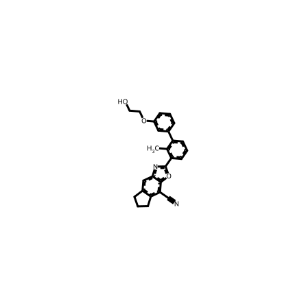 Cc1c(-c2cccc(OCCO)c2)cccc1-c1nc2cc3c(c(C#N)c2o1)CCC3